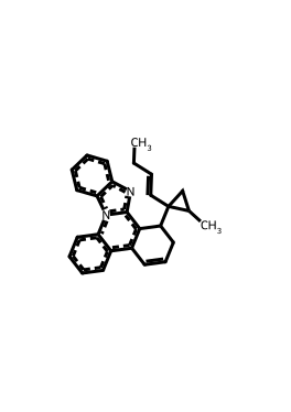 CCC=CC1(C2CC=Cc3c2c2nc4ccccc4n2c2ccccc32)CC1C